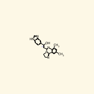 Cc1cc(C)c2c(c1)C1=NCCN1C(/C=C(\O)c1ccc3[nH]cnc3c1)=N2